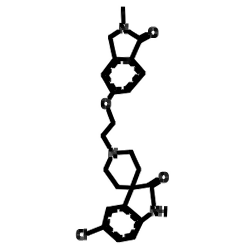 CN1Cc2cc(OCCN3CCC4(CC3)C(=O)Nc3ccc(Cl)cc34)ccc2C1=O